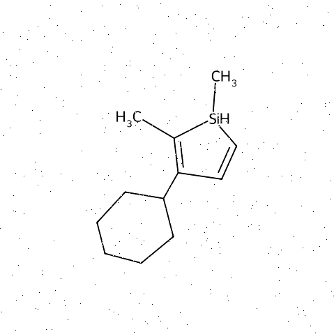 CC1=C(C2CCCCC2)C=C[SiH]1C